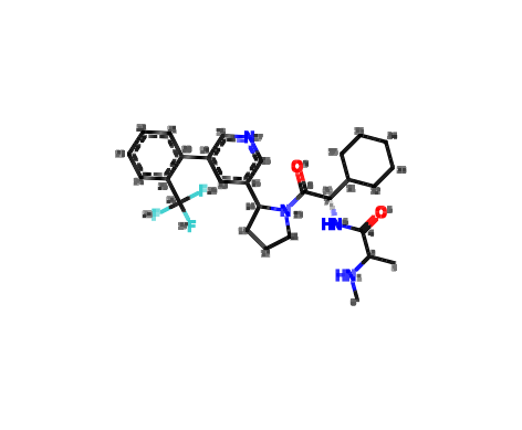 CNC(C)C(=O)N[C@H](C(=O)N1CCCC1c1cncc(-c2ccccc2C(F)(F)F)c1)C1CCCCC1